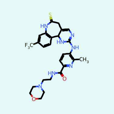 Cc1nc(C(=O)NCCN2CCOCC2)ccc1NC1=NC=C2CC(=S)Nc3cc(C(F)(F)F)ccc3C2N1